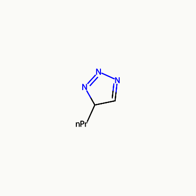 CCCC1C=NN=N1